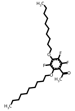 CCCCCCCCCCOc1c(F)c(F)c(C(C)=O)c(OCCCCCCCCCC)c1F